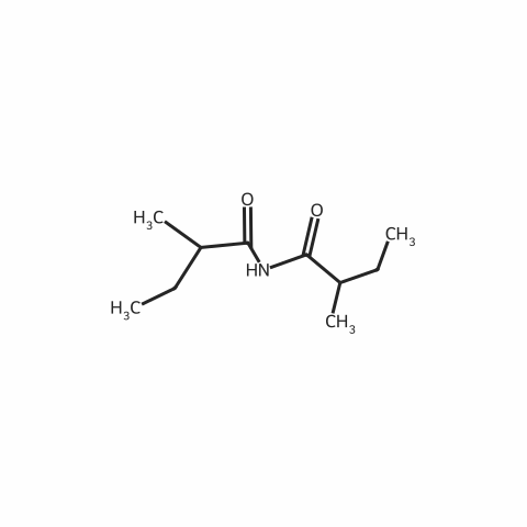 CCC(C)C(=O)NC(=O)C(C)CC